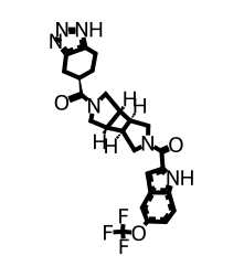 O=C(c1cc2cc(OC(F)(F)F)ccc2[nH]1)N1C[C@@H]2[C@H](C1)[C@H]1CN(C(=O)[C@@H]3CCc4[nH]nnc4C3)C[C@@H]21